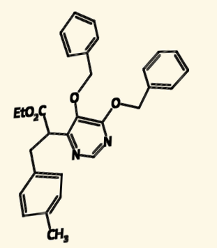 CCOC(=O)C(Cc1ccc(C)cc1)c1ncnc(OCc2ccccc2)c1OCc1ccccc1